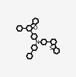 c1ccc(-c2ccc(N(c3ccc(-c4cc(-c5ccccc5)cc5c4oc4ccccc45)cc3)c3ccc(-c4cccc5c4sc4ccccc45)cc3)cc2)cc1